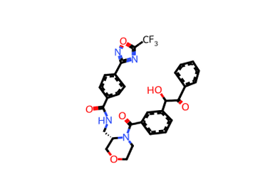 O=C(NC[C@H]1COCCN1C(=O)c1cccc(C(O)C(=O)c2ccccc2)c1)c1ccc(-c2noc(C(F)(F)F)n2)cc1